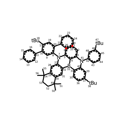 Cc1cc2c3c(c1)N(c1cc(-c4ccccc4)c(C(C)(C)C)cc1-c1ccccc1)c1cc4c(cc1B3c1ccc(C(C)(C)C)cc1N2c1cccc(C(C)(C)C)c1)C(C)(C)CCC4(C)C